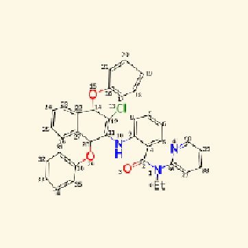 CCN(C(=O)c1ccccc1NC1=C(Cl)C(Oc2ccccc2)c2ccccc2C1Oc1ccccc1)c1ccccn1